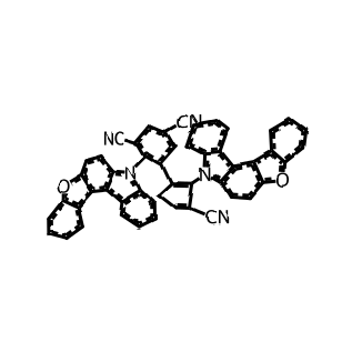 N#CC1=CCC(c2cc(C#N)cc(C#N)c2-n2c3ccccc3c3c4c(ccc32)oc2ccccc24)=C1n1c2ccccc2c2c3c(ccc21)oc1ccccc13